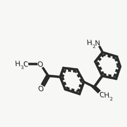 C=C(c1ccc(C(=O)OC)cc1)c1cccc(N)c1